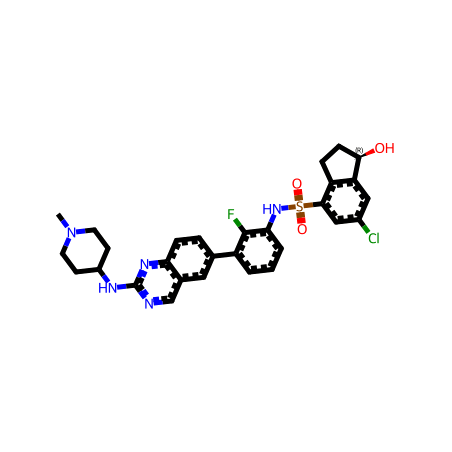 CN1CCC(Nc2ncc3cc(-c4cccc(NS(=O)(=O)c5cc(Cl)cc6c5CC[C@H]6O)c4F)ccc3n2)CC1